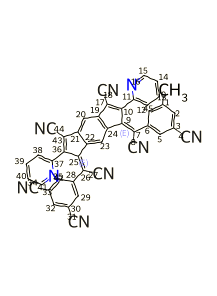 Cc1cc(C#N)cc(/C(C#N)=C2\C(c3ccccn3)=C(C#N)c3cc4c(cc32)/C(=C(\C#N)c2cc(C#N)cc(C#N)c2)C(c2ccccn2)=C4C#N)c1